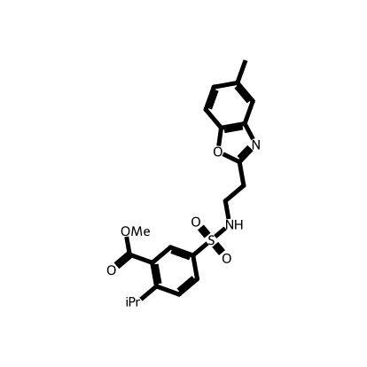 COC(=O)c1cc(S(=O)(=O)NCCc2nc3cc(C)ccc3o2)ccc1C(C)C